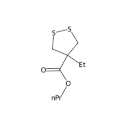 CCCOC(=O)C1(CC)CSSC1